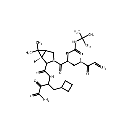 C=CC(=O)NC[C@H](NC(=O)NC(C)(C)C)C(=O)N1CC2[C@@H](C1C(=O)NC(CC1CCC1)C(=O)C(N)=O)C2(C)C